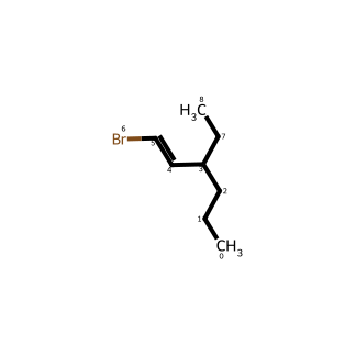 CCCC(C=CBr)CC